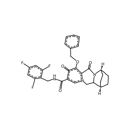 O=C(NCc1c(F)cc(F)cc1F)c1cn2c(c(OCc3ccccc3)c1=O)C(=O)N1C(C2)[C@H]2CC[C@@H]1CC2